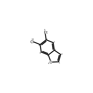 CCc1cc2ccoc2cc1Cl